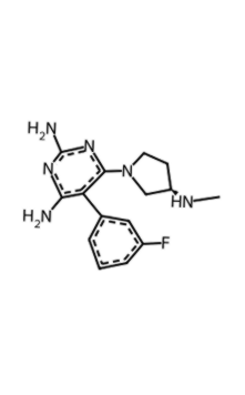 CN[C@@H]1CCN(c2nc(N)nc(N)c2-c2cccc(F)c2)C1